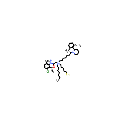 CCCCCCC[N+](CCCCCS)(CCCCCCCN1CCCCC1c1c(C)cccc1C)CC(=O)Nc1c(C)ccc(Cl)c1C